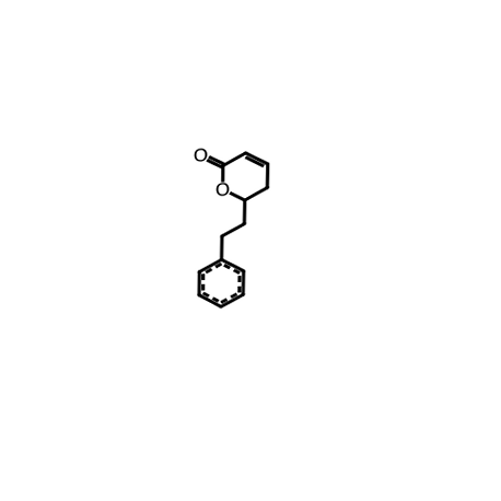 O=C1C=CCC(CCc2ccccc2)O1